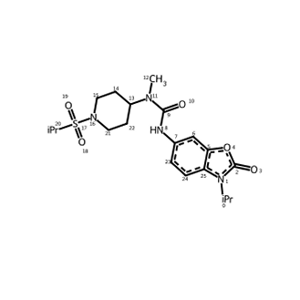 CC(C)n1c(=O)oc2cc(NC(=O)N(C)C3CCN(S(=O)(=O)C(C)C)CC3)ccc21